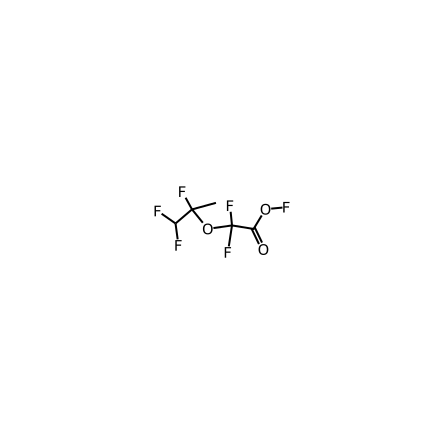 CC(F)(OC(F)(F)C(=O)OF)C(F)F